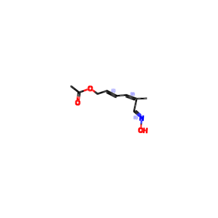 CC(=O)OC/C=C/C=C(C)\C=N\O